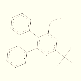 NNc1nc(C(F)(F)F)nc(-c2ccccc2)c1-c1ccccc1